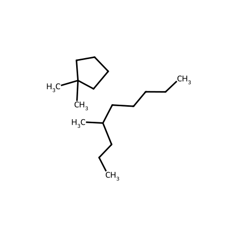 CC1(C)CCCC1.CCCCCC(C)CCC